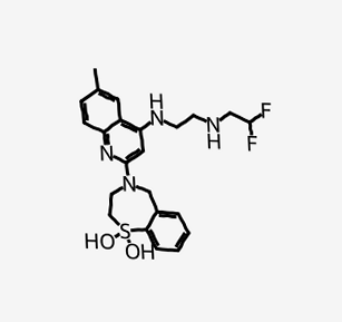 Cc1ccc2nc(N3CCS(O)(O)c4ccccc4C3)cc(NCCNCC(F)F)c2c1